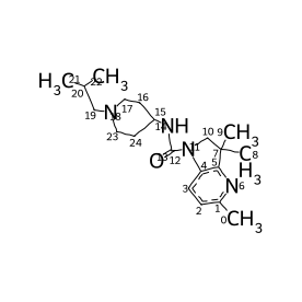 Cc1ccc2c(n1)C(C)(C)CN2C(=O)NC1CCN(CC(C)C)CC1